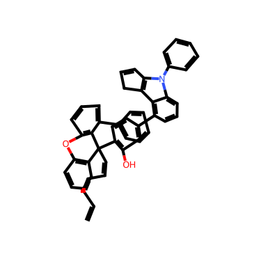 C=C/C=C\C=C/C1(c2ccc(-c3cccc4c3c3c(n4-c4ccccc4)C=CC3)cc2O)C2=C(C=CCC2)Oc2cccc(-c3ccccc3)c21